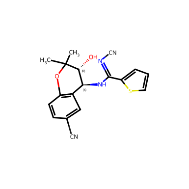 CC1(C)Oc2ccc(C#N)cc2[C@H](NC(=NC#N)c2cccs2)[C@H]1O